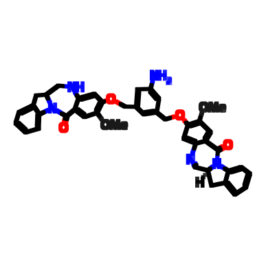 COc1cc2c(cc1OCc1cc(N)cc(COc3cc4c(cc3OC)C(=O)N3c5ccccc5CC3CN4)c1)N=C[C@@H]1Cc3ccccc3N1C2=O